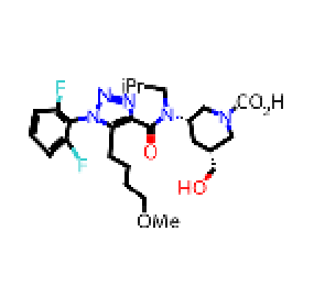 COCCCCc1c(C(=O)N(CC(C)C)[C@H]2C[C@@H](CO)CN(C(=O)O)C2)nnn1-c1c(F)cccc1F